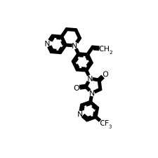 C=Cc1cc(N2C(=O)CN(c3cncc(C(F)(F)F)c3)C2=O)ccc1N1CCCc2cnccc21